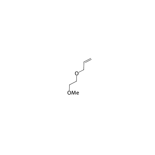 C=CCOCCOC